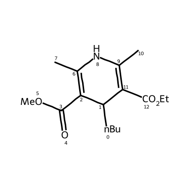 CCCCC1C(C(=O)OC)=C(C)NC(C)=C1C(=O)OCC